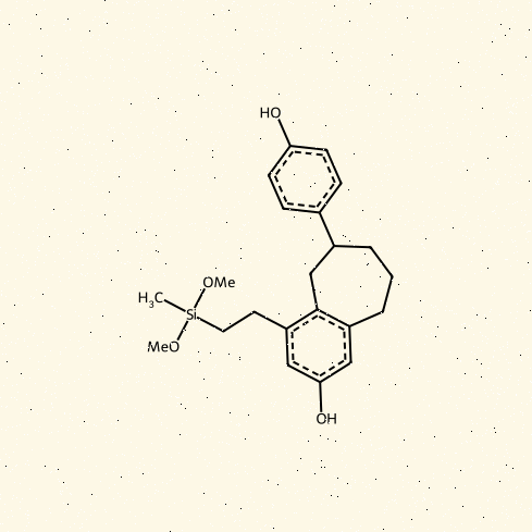 CO[Si](C)(CCc1cc(O)cc2c1CC(c1ccc(O)cc1)CCC2)OC